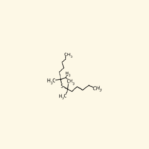 CCCCCC(C)(C)SC(C)(C)CCCCC